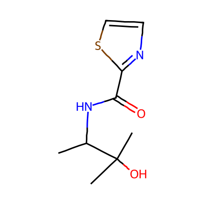 CC(NC(=O)c1nccs1)C(C)(C)O